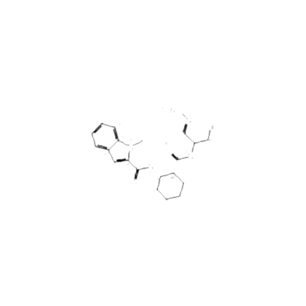 CC(=O)NN=CC(CC(C)C)NC(=O)[C@@H]1CCCC[C@@H]1NC(=O)c1cc2ccccc2n1C